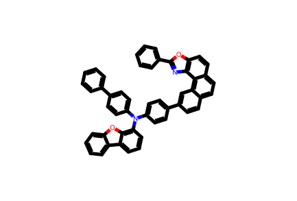 c1ccc(-c2ccc(N(c3ccc(-c4ccc5ccc6ccc7oc(-c8ccccc8)nc7c6c5c4)cc3)c3cccc4c3oc3ccccc34)cc2)cc1